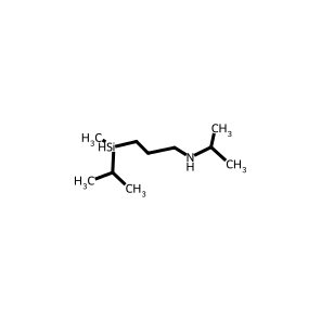 CC(C)NCCC[SiH](C)C(C)C